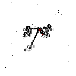 CC1=C(C)C2(c3ccc(Cl)cc3)C=N[C@@H](CC(=O)Nc3ccccc3OCCOCCN(CCOCCNc3cccc4c3C(=O)N(C3CCC(=O)NC3=O)C4=O)C(=O)CCCCCCCCCCCCCNC(=O)OC(C)(C)C)c3nnc(C)n3C2S1